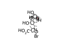 Cc1c(C(=O)O)cc2c(Br)ccn2c1C(C)c1cc(O)c2c3c1C[C@@H]1[C@@H]4C=C[C@H](O)[C@H](O2)[C@]34CCN1C